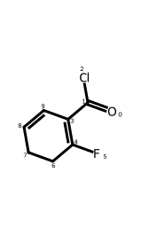 O=C(Cl)C1=C(F)CCC=C1